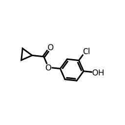 O=C(Oc1ccc(O)c(Cl)c1)C1CC1